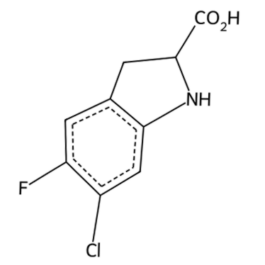 O=C(O)C1Cc2cc(F)c(Cl)cc2N1